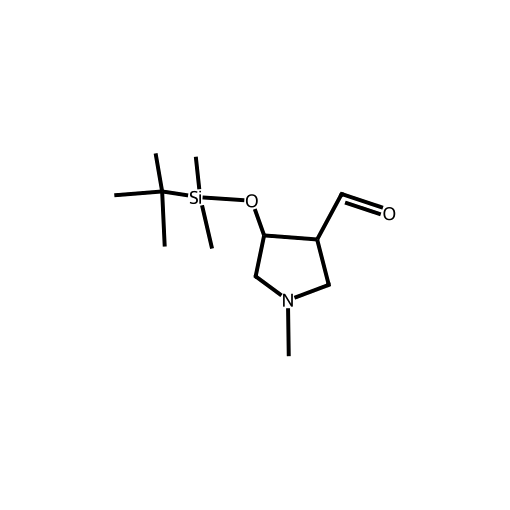 CN1CC(C=O)C(O[Si](C)(C)C(C)(C)C)C1